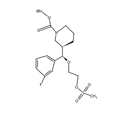 CC(C)(C)OC(=O)N1CCC[C@@H]([C@@H](OCCOS(C)(=O)=O)c2cccc(F)c2)C1